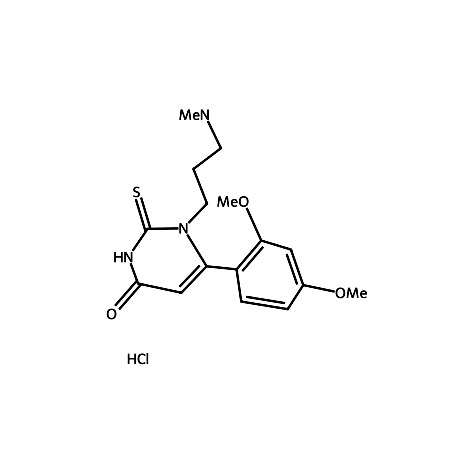 CNCCCn1c(-c2ccc(OC)cc2OC)cc(=O)[nH]c1=S.Cl